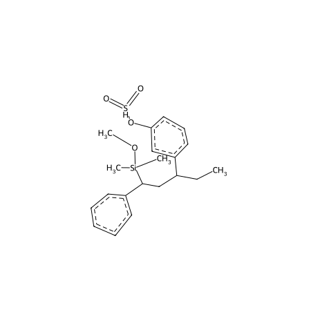 CCC(CC(c1ccccc1)[Si](C)(C)OC)c1cccc(O[SH](=O)=O)c1